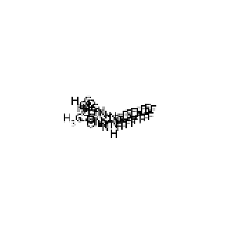 CC[C@H]1O[C@@H](n2cnc3c(NC(F)(F)C(F)(F)C(F)(F)C(F)(F)C(F)(F)C(F)(F)C(F)(F)C(F)(F)F)ncnc32)[C@@H](OC)C1OP(=O)(O)OC